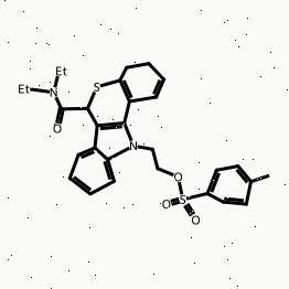 CCN(CC)C(=O)C1SC2=C(C=CCC2)c2c1c1ccccc1n2CCOS(=O)(=O)c1ccc(C)cc1